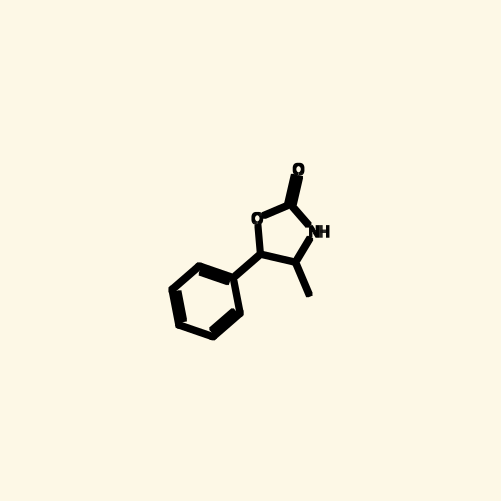 CC1NC(=O)OC1c1ccccc1